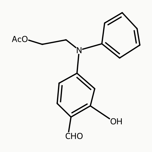 CC(=O)OCCN(c1ccccc1)c1ccc(C=O)c(O)c1